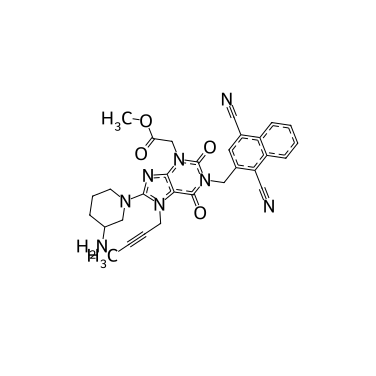 CC#CCn1c(N2CCCC(N)C2)nc2c1c(=O)n(Cc1cc(C#N)c3ccccc3c1C#N)c(=O)n2CC(=O)OC